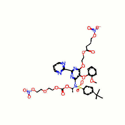 COc1ccccc1Oc1c(OCCOC(=O)CCCO[N+](=O)[O-])nc(-c2ncccn2)nc1N(C(C)OC(=O)OCCOCCO[N+](=O)[O-])S(=O)(=O)c1ccc(C(C)(C)C)cc1